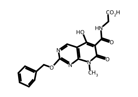 Cn1c(=O)c(C(=O)NCC(=O)O)c(O)c2cnc(OCc3ccccc3)nc21